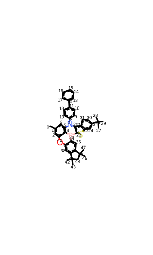 Cc1cc2c3c(c1)N(c1ccc(-c4ccccc4)cc1)c1c(sc4cc(C(C)(C)C)ccc14)B3c1cc3c(cc1O2)C(C)(C)CC3(C)C